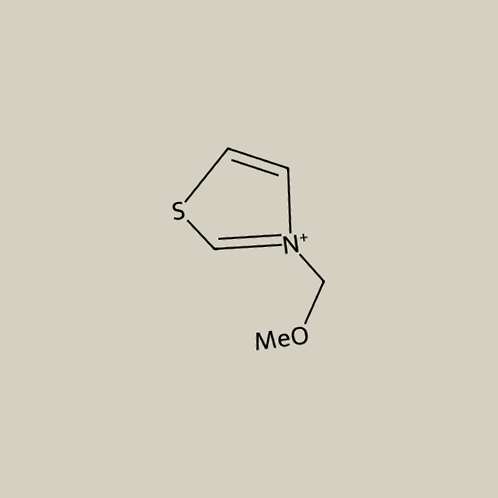 COC[n+]1ccsc1